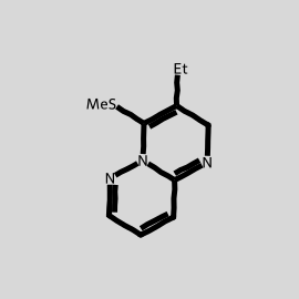 CCC1=C(SC)N2N=CC=CC2=NC1